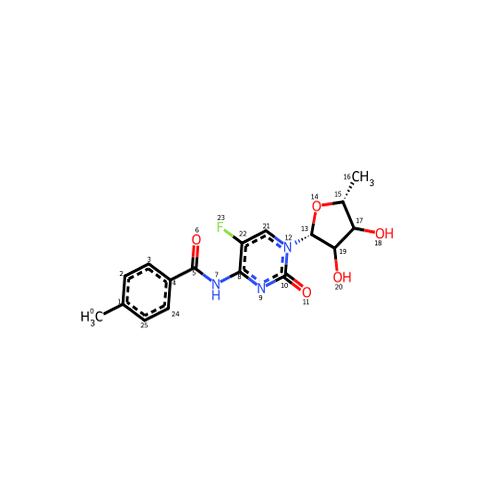 Cc1ccc(C(=O)Nc2nc(=O)n([C@@H]3O[C@H](C)C(O)C3O)cc2F)cc1